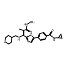 CC(C)(C)Nc1nn2c(-c3ccc(C(=O)NC4CC4)cc3)cnc2c(NCC2CCOCC2)c1I